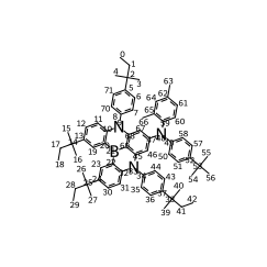 CCC(C)(C)c1ccc(N2c3ccc(C(C)(C)CC)cc3B3c4cc(C(C)(C)CC)ccc4N(c4ccc(C(C)(C)CC)cc4)c4cc(N(c5ccc(C(C)(C)C)cc5)c5ccc(C)cc5C)cc2c43)cc1